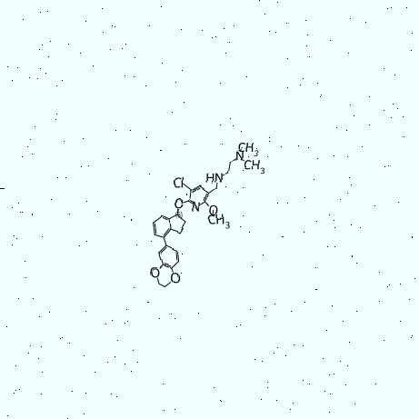 COc1nc(O[C@H]2CCc3c(-c4ccc5c(c4)OCCO5)cccc32)c(Cl)cc1CNCCN(C)C